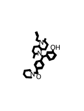 C=CCN1C(C)CCC2C1CCC(C)N2C(c1ccc(C(=O)N2CCCCC2)cc1)c1cccc(O)c1